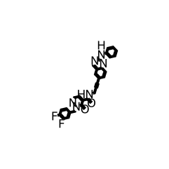 O=C(NCC#Cc1ccc2nc(Nc3ccccc3)ncc2c1)c1ccnn(Cc2ccc(F)c(F)c2)c1=O